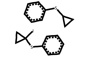 IC1(Sc2ccccc2)CC1.c1ccc(SC2CC2)cc1